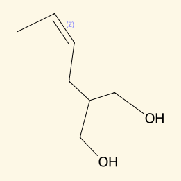 C/C=C\CC(CO)CO